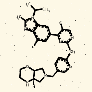 Cc1nc2c(F)cc(-c3nc(Nc4ccc(CN5CC6OCCN[C@H]6C5)cn4)ncc3F)cc2n1C(C)C